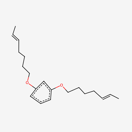 CC=CCCCCOc1cccc(OCCCCC=CC)c1